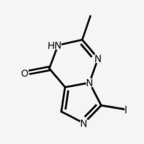 Cc1nn2c(I)ncc2c(=O)[nH]1